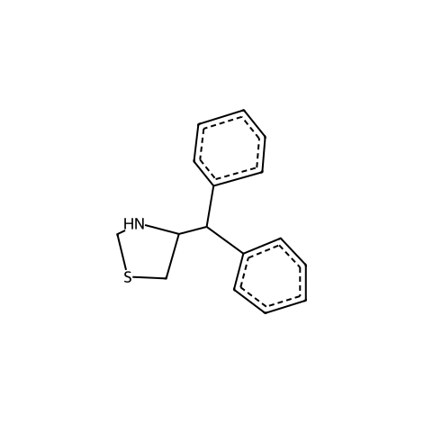 c1ccc(C(c2ccccc2)C2CSCN2)cc1